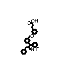 O=C(O)CCc1cccc(OCc2cccc(-c3c(Cc4ccccc4)cnc4c(F)cccc34)c2)c1